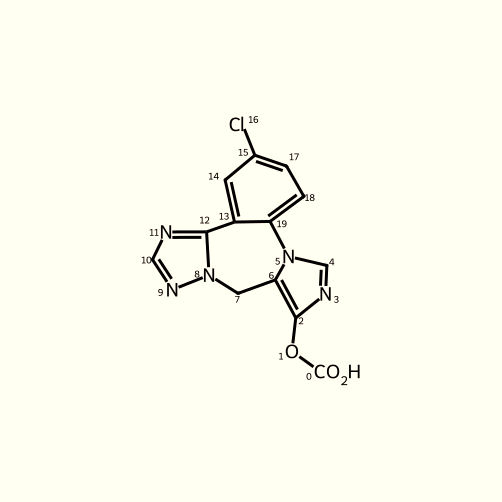 O=C(O)Oc1ncn2c1Cn1ncnc1-c1cc(Cl)ccc1-2